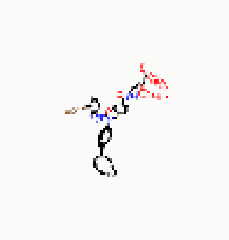 O=C(NCC(O)C(=O)O)c1ccc(CN(C(=O)Nc2cccc(Br)c2)c2ccc(C3CCCCC3)cc2)cc1